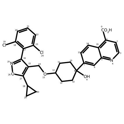 O=C(O)c1ccnc2cc(C3(O)CCC(OCc4c(-c5c(Cl)cccc5Cl)noc4C4CC4)CC3)ccc12